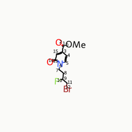 COC(=O)c1ccn(CCC(F)CBr)c(=O)c1